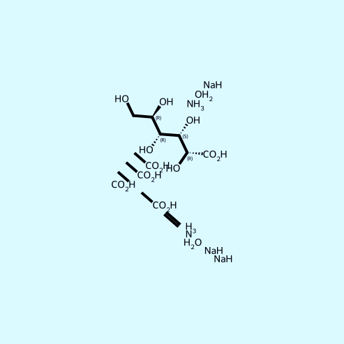 C=C.CC(=O)O.CC(=O)O.CC(=O)O.CC(=O)O.N.N.O.O.O=C(O)[C@H](O)[C@@H](O)[C@H](O)[C@H](O)CO.[NaH].[NaH].[NaH]